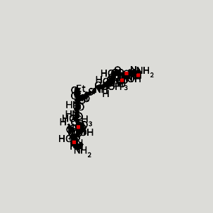 CCC(=O)CC(=O)[SH](CCNC(=O)CCNC(=O)C(O)C(C)(C)COP(=O)(O)OP(=O)(O)OC[C@H]1O[C@@H](n2cnc3c(N)ncnc32)[C@H](O)[C@@H]1OP(=O)(O)O)C(=O)CC(=O)CCSCCNC(=O)CCNC(=O)C(O)C(C)(C)COP(=O)(O)OP(=O)(O)OC[C@H]1O[C@@H](n2cnc3c(N)ncnc32)[C@H](O)[C@@H]1OP(=O)(O)O